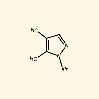 CC(C)n1ncc(C#N)c1O